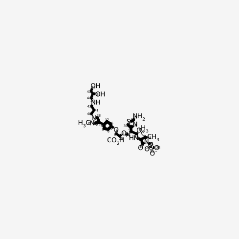 C[n+]1cc(-c2ccc(OC[C@H](O/N=C(/C(=O)NC3C(=O)N(OS(=O)(=O)[O-])C3(C)C)c3csc(N)n3)C(=O)O)cc2)cn1CCCNCC(O)CO